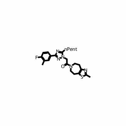 CCCCCc1nc(-c2ccc(F)c(C)c2)nn1CC(=O)N1CCc2nc(C)sc2CC1